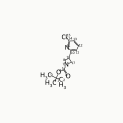 CC(C)(C)OC(=O)N1CC(c2cccc(Cl)n2)C1